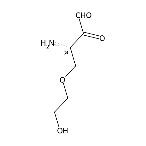 N[C@@H](COCCO)C(=O)C=O